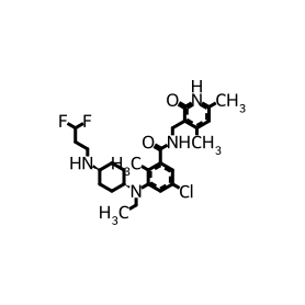 CCN(c1cc(Cl)cc(C(=O)NCc2c(C)cc(C)[nH]c2=O)c1C)[C@H]1CC[C@H](NCCC(F)F)CC1